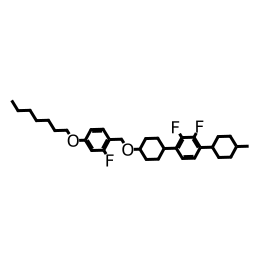 CCCCCCCOc1ccc(COC2CCC(c3ccc(C4CCC(C)CC4)c(F)c3F)CC2)c(F)c1